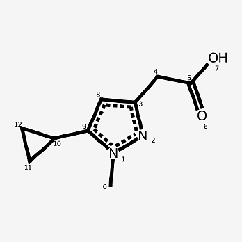 Cn1nc(CC(=O)O)cc1C1CC1